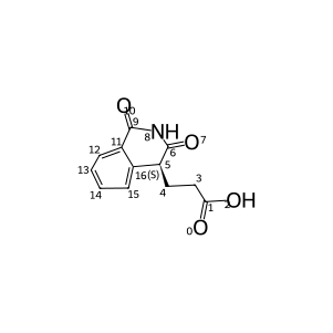 O=C(O)CC[C@@H]1C(=O)NC(=O)c2ccccc21